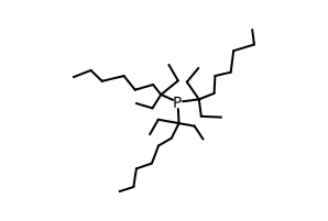 CCCCCCC(CC)(CC)P(C(CC)(CC)CCCCCC)C(CC)(CC)CCCCCC